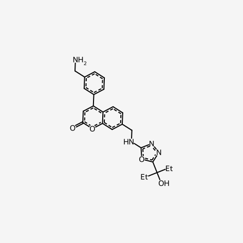 CCC(O)(CC)c1nnc(NCc2ccc3c(-c4cccc(CN)c4)cc(=O)oc3c2)o1